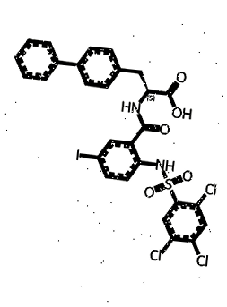 O=C(N[C@@H](Cc1ccc(-c2ccccc2)cc1)C(=O)O)c1cc(I)ccc1NS(=O)(=O)c1cc(Cl)c(Cl)cc1Cl